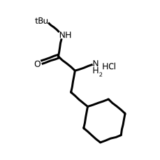 CC(C)(C)NC(=O)C(N)CC1CCCCC1.Cl